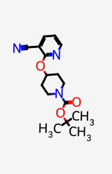 CC(C)(C)OC(=O)N1CCC(Oc2ncccc2C#N)CC1